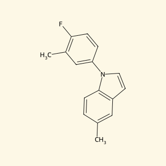 Cc1ccc2c(ccn2-c2ccc(F)c(C)c2)c1